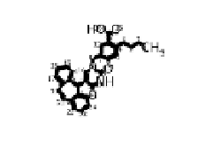 CCCCc1ccc(Cn2cc(C3c4ccccc4C=Cc4ccccc43)c(=O)[nH]c2=O)cc1C(=O)O